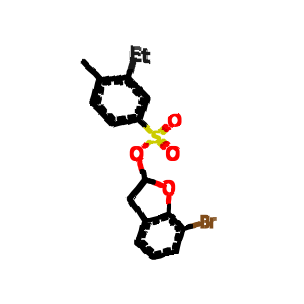 CCc1cc(S(=O)(=O)OC2Cc3cccc(Br)c3O2)ccc1C